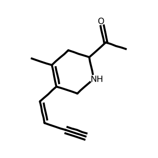 C#C/C=C\C1=C(C)CC(C(C)=O)NC1